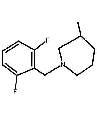 CC1CCCN(Cc2c(F)cccc2F)C1